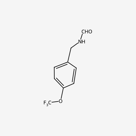 O=CNCc1ccc(OC(F)(F)F)cc1